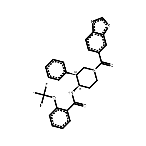 O=C(N[C@@H]1CCN(C(=O)c2ccc3ncsc3c2)C[C@@H]1c1ccccc1)c1ccccc1OC(F)(F)F